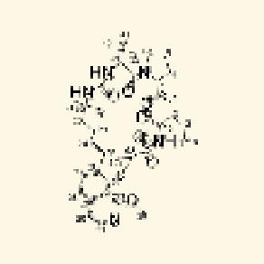 C=CCC(CC(=O)[C@@H]1CCCN1C(=O)[C@@H](NC(=O)NC(C)(C)CC/C=C/c1ccc2ccnc(OC)c2c1)C(C)(C)C)C(=O)NS(=O)(=O)C1CC1